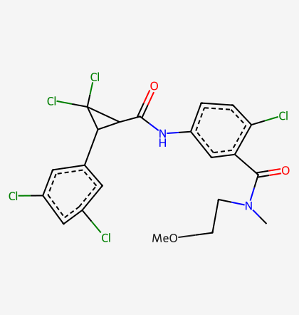 COCCN(C)C(=O)c1cc(NC(=O)C2C(c3cc(Cl)cc(Cl)c3)C2(Cl)Cl)ccc1Cl